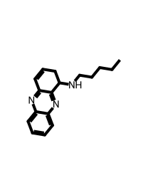 CCCCCNC1CC=Cc2nc3ccccc3nc21